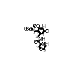 CC(C)(C)N(Cc1ccc(Cl)cc1CNC(=O)[C@@H]1COCCN1)C(=O)O